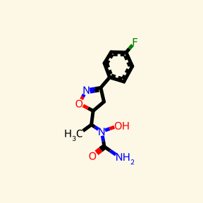 CC(C1CC(c2ccc(F)cc2)=NO1)N(O)C(N)=O